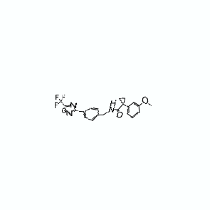 COc1cccc(C2(C(=O)NCc3ccc(-c4noc(C(F)(F)F)n4)cc3)CC2)c1